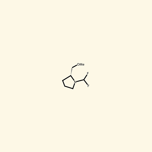 COC[C@H]1CCCN1C(F)F